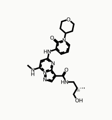 CNc1cc(Nc2cccn(C3CCOCC3)c2=O)nc2c(C(=O)NC[C@H](C)CO)cnn12